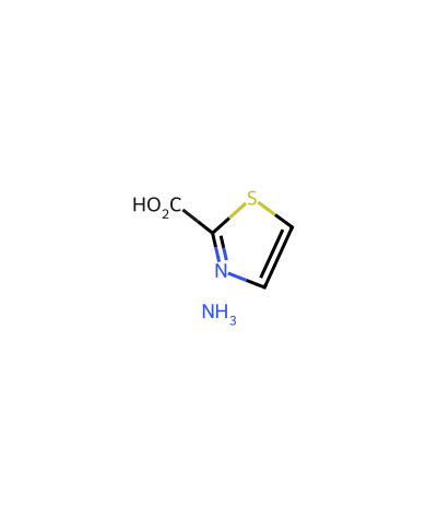 N.O=C(O)c1nccs1